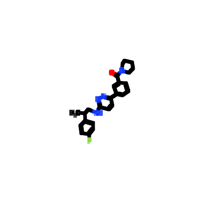 CC(CNc1ccc(-c2cccc(C(=O)N3CCCCC3)c2)nn1)c1ccc(F)cc1